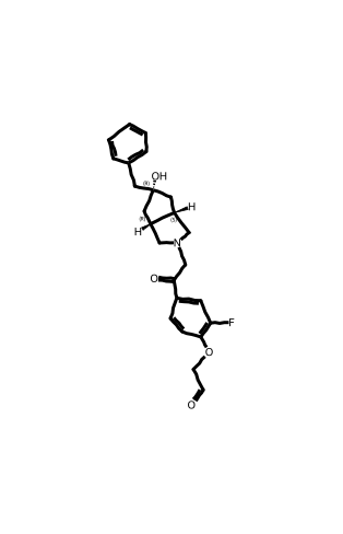 O=CCOc1ccc(C(=O)CN2C[C@@H]3C[C@@](O)(Cc4ccccc4)C[C@@H]3C2)cc1F